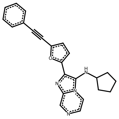 C(#Cc1ccc(-c2nc3cnccn3c2NC2CCCC2)o1)c1ccccc1